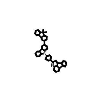 CC1(C)c2ccccc2-c2cc(-c3ccc4c(c3)c3ccccc3n4-c3ccc(-c4cc5c6c(cccc6n4)-c4ccccc4-5)cc3)ccc21